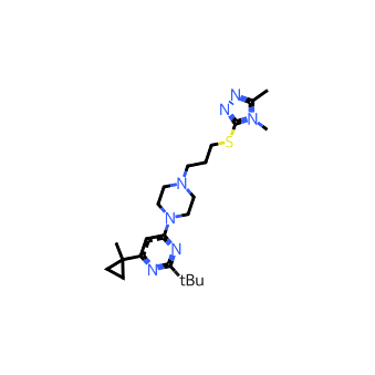 Cc1nnc(SCCCN2CCN(c3cc(C4(C)CC4)nc(C(C)(C)C)n3)CC2)n1C